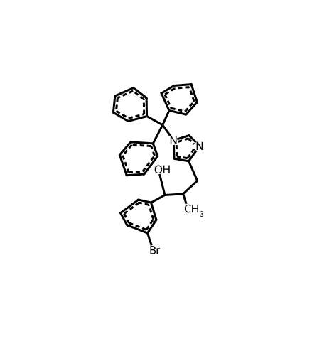 CC(Cc1cn(C(c2ccccc2)(c2ccccc2)c2ccccc2)cn1)C(O)c1cccc(Br)c1